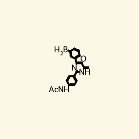 Bc1ccc2oc3c(c2c1)N=C(c1ccc(NC(C)=O)cc1)NC3=C